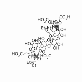 CCN(CC)CCOCC1OC(OC2C(COCC(=O)O)OC(OC3C(COCC[N+](CC)(CC)CCN(CC)CC)OC(ON[C@H](C=O)CCC(=O)O)C(O)C3O)C(O)C2O)C(O)C(O)C1OC1OC(CON[C@H](C=O)CCC(=O)O)C(ON[C@H](C=O)CCC(=O)O)C(O)C1O